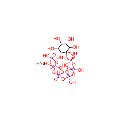 O=P(O)(O)OP(=O)(O)OP(=O)(O)OP(=O)(O)OP(=O)(O)OP(=O)(O)O[C@]1(O)[C@H](O)[C@H](O)[C@@H](O)[C@H](O)[C@H]1O.[NaH]